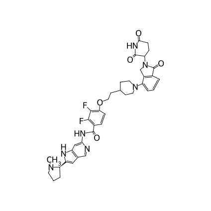 CN1CCC[C@@H]1c1cc2cnc(NC(=O)c3ccc(OCCC4CCN(c5cccc6c5CN(C5CCC(=O)NC5=O)C6=O)CC4)c(F)c3F)cc2[nH]1